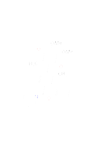 COC1=C(OC)C(=O)C(c2ccc(C(=O)N3CCCCC3)c(-c3ccccc3)c2C)=C(C)C1=O